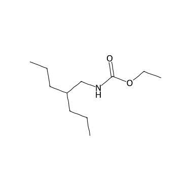 CCCC(CCC)CNC(=O)OCC